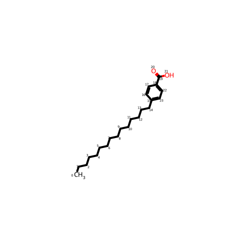 CCCCCCCCCCCCCCCc1ccc(C(=O)O)cc1